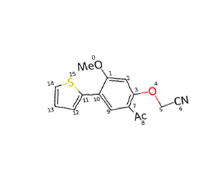 COc1cc(OCC#N)c(C(C)=O)cc1-c1cccs1